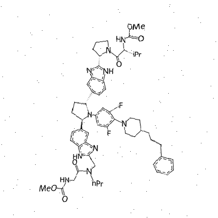 CCCN(Cc1nc2cc([C@H]3CC[C@H](c4ccc5[nH]c([C@@H]6CCCN6C(=O)C(NC(=O)OC)C(C)C)nc5c4)N3c3cc(F)c(N4CCC(CCCc5ccccc5)CC4)c(F)c3)ccc2[nH]1)C(=O)CNC(=O)OC